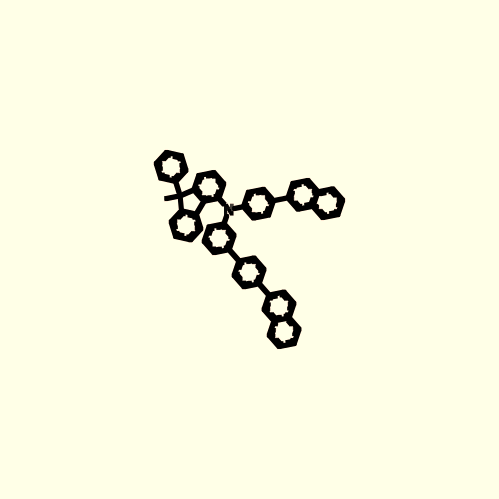 CC1(c2ccccc2)c2ccccc2-c2c(N(c3ccc(-c4ccc5ccccc5c4)cc3)c3cccc(-c4ccc(-c5ccc6ccccc6c5)cc4)c3)cccc21